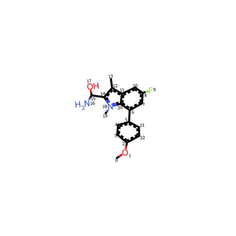 COc1ccc(-c2cc(F)cc3c(C)c(C(N)O)n(C)c23)cc1